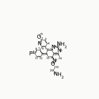 COc1cccc(-c2cc(F)ccc2[C@@H]2CC(=NOCCN)c3c(C)nc(N)nc3C2)n1